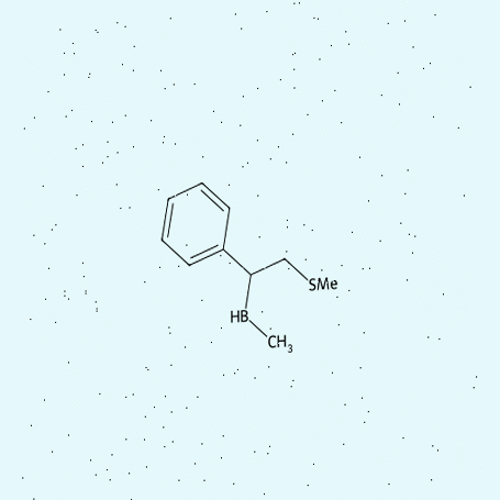 CBC(CSC)c1ccccc1